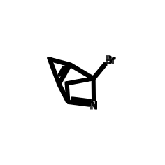 BrC12CC(=N1)C1=C2C1